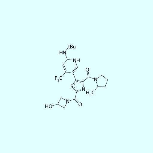 CC1CCCN1C(=O)c1nc(C(=O)N2CC(O)C2)sc1C1=CNC(NC(C)(C)C)C=C1C(F)(F)F